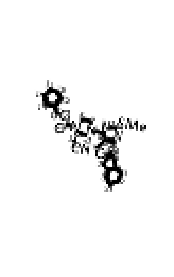 CSc1nc2c(c(N3CCN(C(=O)OCc4ccccc4)[C@@H](CC#N)C3)n1)COC1(Cc3ccccc3C1)C2